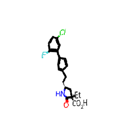 CCC1(C(=O)O)C[C@@H](CCc2ccc(-c3cc(Cl)ccc3F)cc2)NC1=O